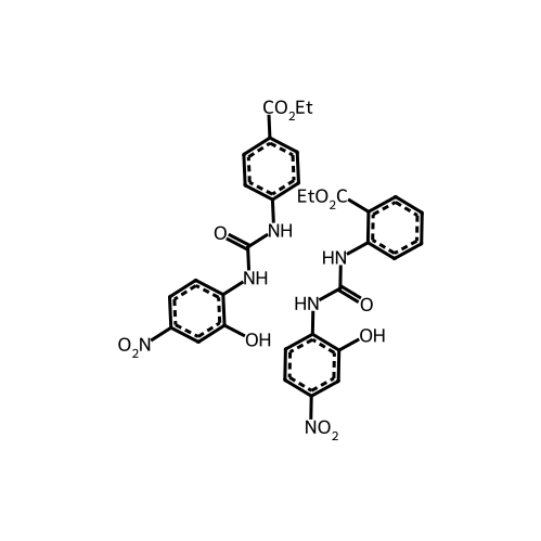 CCOC(=O)c1ccc(NC(=O)Nc2ccc([N+](=O)[O-])cc2O)cc1.CCOC(=O)c1ccccc1NC(=O)Nc1ccc([N+](=O)[O-])cc1O